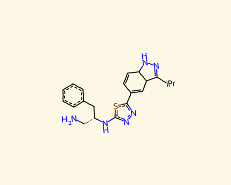 CC(C)C1=NNC2C=CC(c3nnc(N[C@H](CN)Cc4ccccc4)s3)=CC12